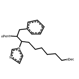 CCCCCCCCCCCCCCCCC(C(CCCCC)Cc1ccccc1)n1ccnc1